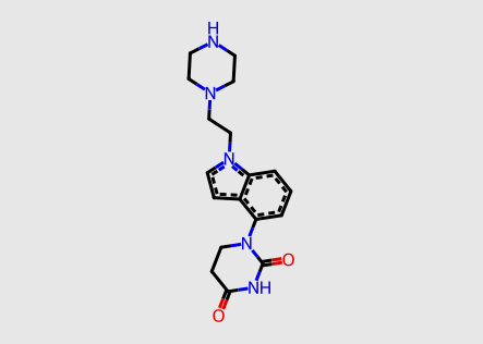 O=C1CCN(c2cccc3c2ccn3CCN2CCNCC2)C(=O)N1